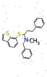 CN(Cc1ccccc1)C(CCc1ccccc1)Sc1cccc2ccsc12